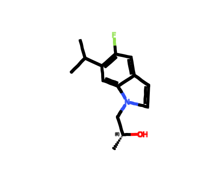 CC(C)c1cc2c(ccn2C[C@@H](C)O)cc1F